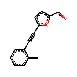 Cc1ccccc1C#Cc1ccc(C=O)o1